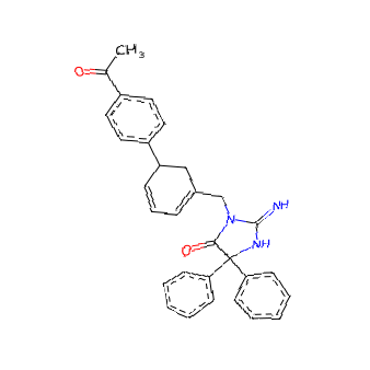 CC(=O)c1ccc(C2C=CC=C(CN3C(=N)NC(c4ccccc4)(c4ccccc4)C3=O)C2)cc1